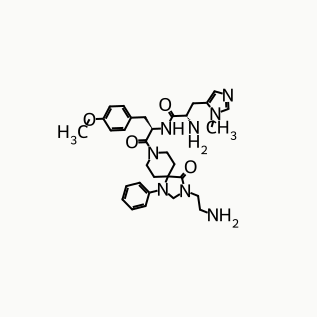 COc1ccc(C[C@@H](NC(=O)[C@@H](N)Cc2cncn2C)C(=O)N2CCC3(CC2)C(=O)N(CCN)CN3c2ccccc2)cc1